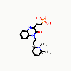 C[C@H]1CCC[C@@H](CCn2c(=O)c(CCP(=O)(O)O)nc3ccccc32)N1C